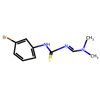 CN(C)C=NC(=S)Nc1cccc(Br)c1